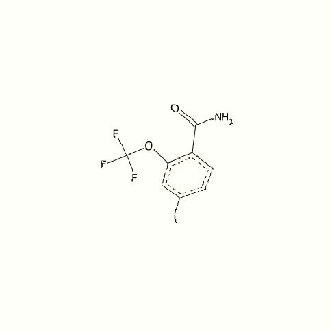 NC(=O)c1ccc(I)cc1OC(F)(F)F